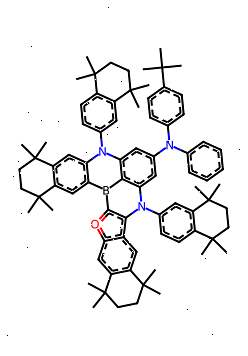 CC(C)(C)c1ccc(N(c2ccccc2)c2cc3c4c(c2)N(c2ccc5c(c2)C(C)(C)CCC5(C)C)c2c(oc5cc6c(cc25)C(C)(C)CCC6(C)C)B4c2cc4c(cc2N3c2ccc3c(c2)C(C)(C)CCC3(C)C)C(C)(C)CCC4(C)C)cc1